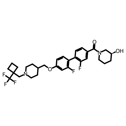 O=C(c1ccc(-c2ccc(OCC3CCN(CC4(C(F)(F)F)CCC4)CC3)cc2F)c(F)c1)N1CCC[C@H](O)C1